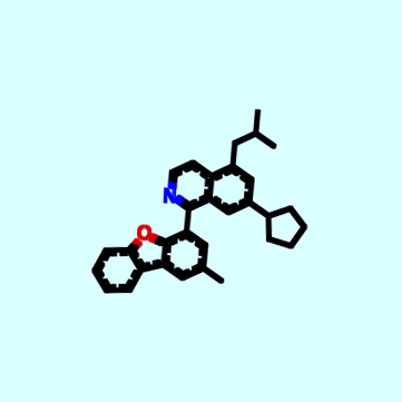 Cc1cc(-c2nccc3c(CC(C)C)cc(C4CCCC4)cc23)c2oc3ccccc3c2c1